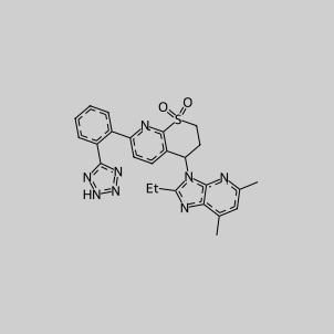 CCc1nc2c(C)cc(C)nc2n1C1CCS(=O)(=O)c2nc(-c3ccccc3-c3nn[nH]n3)ccc21